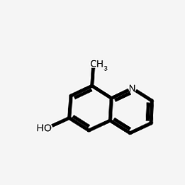 Cc1cc(O)cc2cccnc12